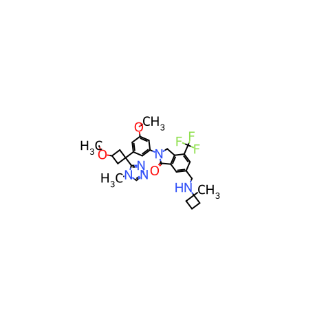 COc1cc(N2Cc3c(cc(CNC4(C)CCC4)cc3C(F)(F)F)C2=O)cc(C2(c3nncn3C)CC(OC)C2)c1